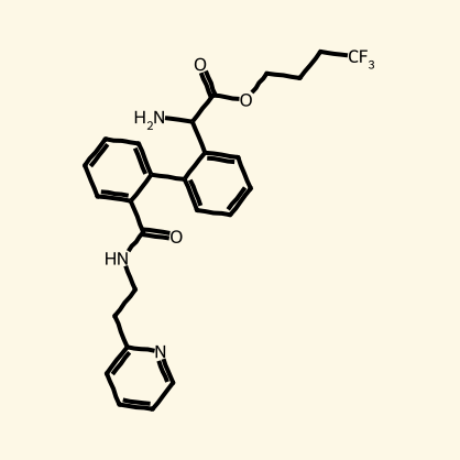 NC(C(=O)OCCCC(F)(F)F)c1ccccc1-c1ccccc1C(=O)NCCc1ccccn1